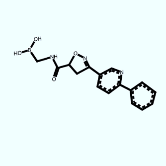 O=C(NCB(O)O)C1CC(c2ccc(-c3ccccc3)nc2)=NO1